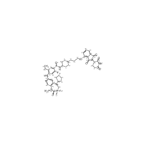 COc1cc(C(=O)NC2CCN(CCCOc3cccc4c3C(=O)N(C3CCC(=O)NC3=O)C4=O)CC2)c(F)cc1Nc1ncc2c(n1)N(C1CCCC1)CC(F)(F)C(=O)N2C